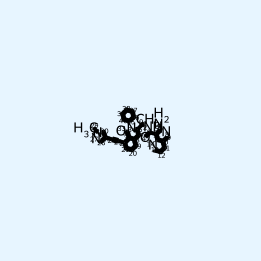 C[C@H](NC(=O)c1c(N)ncc2cccnc12)c1cc2cccc(C#Cc3cnn(C)c3)c2c(=O)n1-c1ccccc1